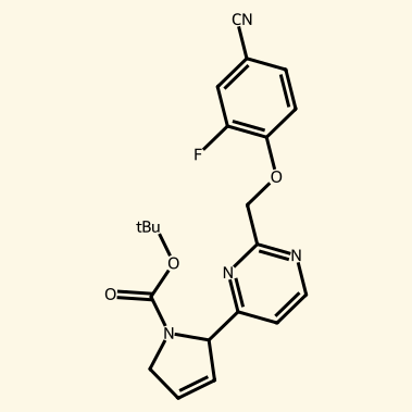 CC(C)(C)OC(=O)N1CC=CC1c1ccnc(COc2ccc(C#N)cc2F)n1